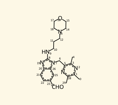 Cc1nc(C)c(Cn2c(NCCCN3CCOCC3)nc3ccc(C=O)cc32)nc1C